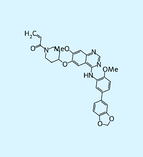 C=CC(=O)N1CCC(Oc2cc3c(Nc4cc(-c5ccc6c(c5)OCO6)ccc4OC)ncnc3cc2OC)CC1